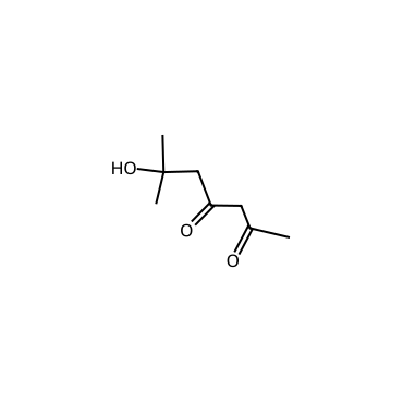 CC(=O)CC(=O)CC(C)(C)O